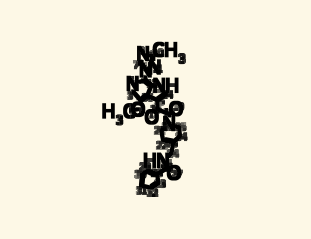 COc1cnc(-n2cnc(C)n2)c2[nH]cc(C(=O)C(=O)N3CC=C(CNC(=O)c4ccccc4)CC3)c12